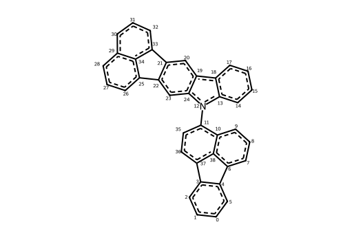 c1ccc2c(c1)-c1cccc3c(-n4c5ccccc5c5cc6c(cc54)-c4cccc5cccc-6c45)ccc-2c13